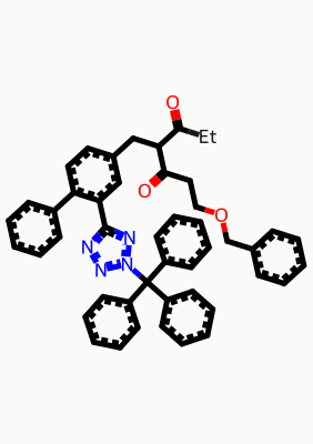 CCC(=O)C(Cc1ccc(-c2ccccc2)c(-c2nnn(C(c3ccccc3)(c3ccccc3)c3ccccc3)n2)c1)C(=O)CCOCc1ccccc1